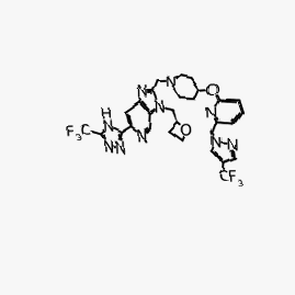 FC(F)(F)c1cnn(Cc2cccc(OC3CCN(Cc4nc5cc(-c6nnc(C(F)(F)F)[nH]6)ncc5n4C[C@@H]4CCO4)CC3)n2)c1